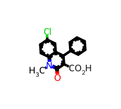 Cn1c(=O)c(C(=O)O)c(-c2ccccc2)c2cc(Cl)ccc21